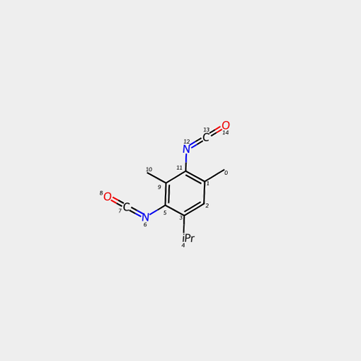 Cc1cc(C(C)C)c(N=C=O)c(C)c1N=C=O